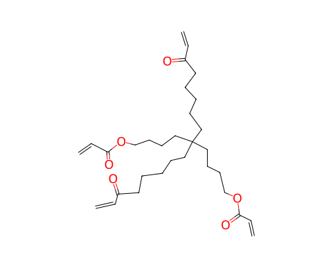 C=CC(=O)CCCCCC(CCCCCC(=O)C=C)(CCCCOC(=O)C=C)CCCCOC(=O)C=C